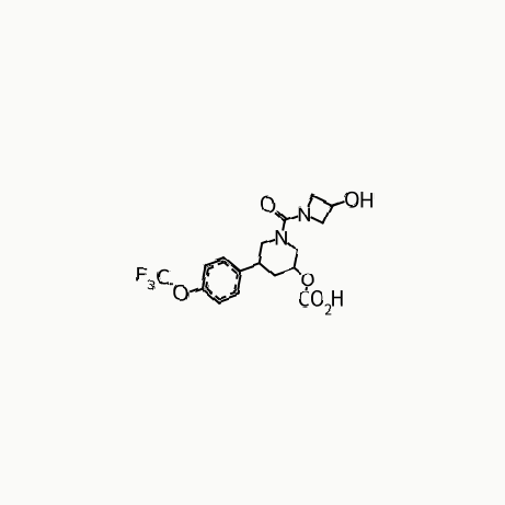 O=C(O)OC1CC(c2ccc(OC(F)(F)F)cc2)CN(C(=O)N2CC(O)C2)C1